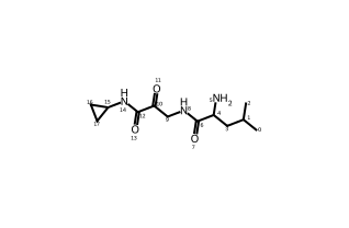 CC(C)CC(N)C(=O)NCC(=O)C(=O)NC1CC1